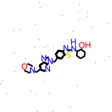 OC1CCCCC1Nc1nc2ccc(Cn3cnc4cc(CN5CCOCC5)cnc43)cc2s1